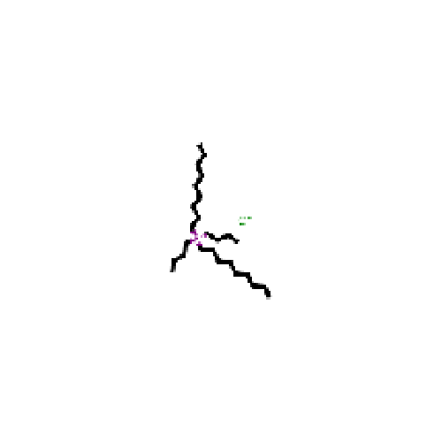 CCCCCCCCC[P+](CCCC)(CCCC)CCCCCCCCC.[Cl-]